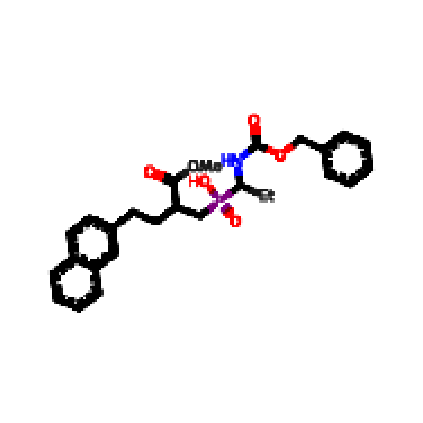 CCC(NC(=O)OCc1ccccc1)P(=O)(O)CC(CCc1ccc2ccccc2c1)C(=O)OC